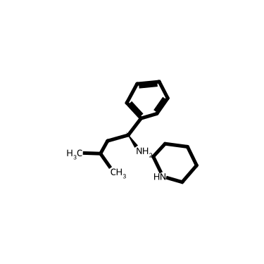 C1CCNCC1.CC(C)C[C@H](N)c1ccccc1